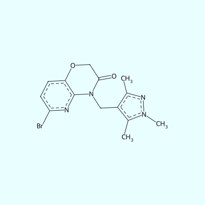 Cc1nn(C)c(C)c1CN1C(=O)COc2ccc(Br)nc21